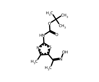 C/C(=N/O)c1sc(NC(=O)OC(C)(C)C)nc1C